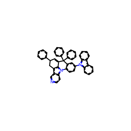 C1=C2c3c(c4cnccc4n3-c3ccc(-n4c5ccccc5c5ccccc54)cc3C2(c2ccccc2)c2ccccc2)CC1c1ccccc1